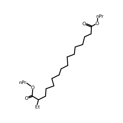 CCCOC(=O)CCCCCCCCCCCCCC(CC)C(=O)OCCC